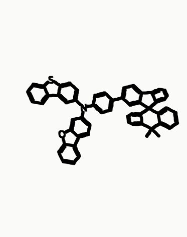 CC1(C)c2ccccc2C2(c3ccccc3-c3ccc(-c4ccc(N(c5ccc6c(c5)oc5ccccc56)c5ccc6sc7ccccc7c6c5)cc4)cc32)c2ccccc21